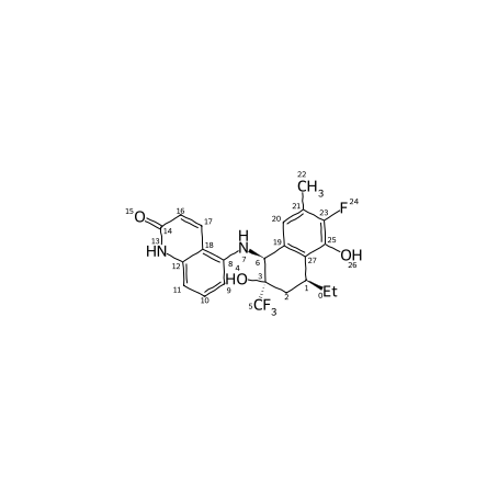 CC[C@H]1C[C@](O)(C(F)(F)F)[C@@H](Nc2cccc3[nH]c(=O)ccc23)c2cc(C)c(F)c(O)c21